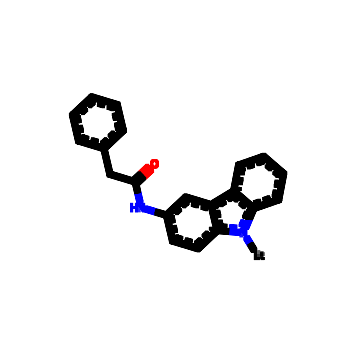 CCn1c2ccccc2c2cc(NC(=O)Cc3ccccc3)ccc21